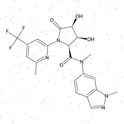 Cc1cc(C(F)(F)F)cc(N2C(=O)[C@@H](O)[C@@H](O)[C@H]2C(=O)N(C)c2ccc3cnn(C)c3c2)n1